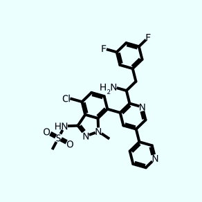 Cn1nc(NS(C)(=O)=O)c2c(Cl)ccc(-c3cc(-c4cccnc4)cnc3C(N)Cc3cc(F)cc(F)c3)c21